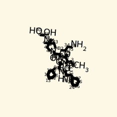 CC(C)C[C@@H](NC(=O)[C@@H](Cc1ccccc1)NC(=O)[C@H](N)Cc1ccccc1)C(=O)N[C@H](CCCCN)C(=O)N1CCC2(CC1)CN(C(O)CO)C2